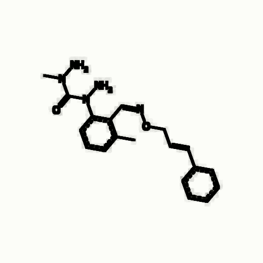 Cc1cccc(N(N)C(=O)N(C)N)c1/C=N\OC/C=C/c1ccccc1